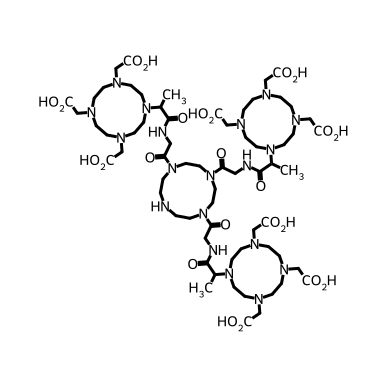 CC(C(=O)NCC(=O)N1CCNCCN(C(=O)CNC(=O)C(C)N2CCN(CC(=O)O)CCN(CC(=O)O)CCN(CC(=O)O)CC2)CCN(C(=O)CNC(=O)C(C)N2CCN(CC(=O)O)CCN(CC(=O)O)CCN(CC(=O)O)CC2)CC1)N1CCN(CC(=O)O)CCN(CC(=O)O)CCN(CC(=O)O)CC1